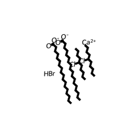 Br.CCCCCC(Cl)CCCC.CCCCCC(Cl)CCCC.CCCCCCCCCCCCCCCCCC(=O)[O-].CCCCCCCCCCCCCCCCCC(=O)[O-].[Ca+2]